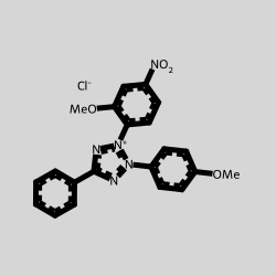 COc1ccc(-n2nc(-c3ccccc3)n[n+]2-c2ccc([N+](=O)[O-])cc2OC)cc1.[Cl-]